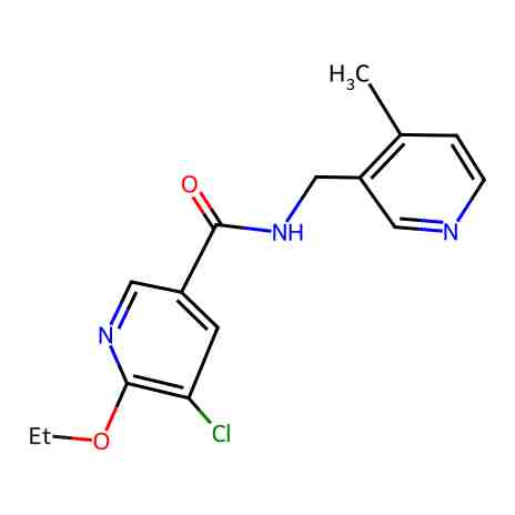 CCOc1ncc(C(=O)NCc2cnccc2C)cc1Cl